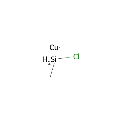 C[SiH2]Cl.[Cu]